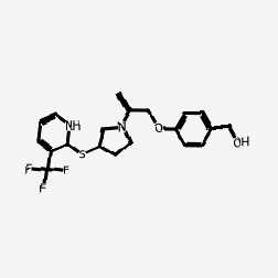 C=C(COc1ccc(CO)cc1)N1CCC(SC2NC=CC=C2C(F)(F)F)C1